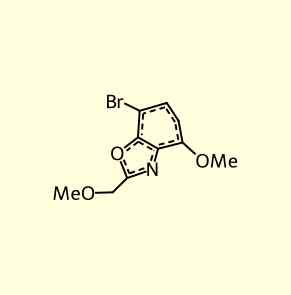 COCc1nc2c(OC)ccc(Br)c2o1